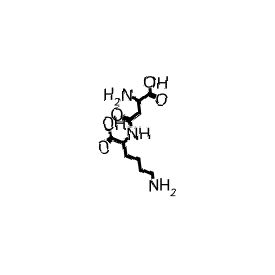 NCCCCC(NC(=O)CC(N)C(=O)O)C(=O)O